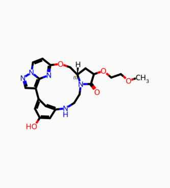 COCCOC1C[C@H]2COc3ccn4ncc(c4n3)-c3cc(O)cc(c3)NCCN2C1=O